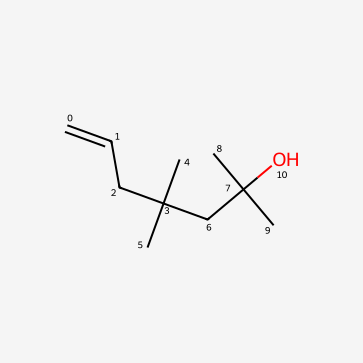 C=CCC(C)(C)CC(C)(C)O